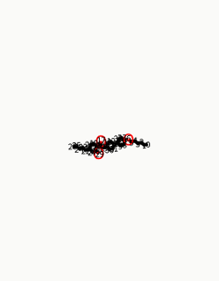 CCCCCCOc1ccc(C2CCC(CC(=O)C3CCC(CCCCC)CC3=O)CC2)cc1